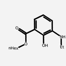 CCCCCCOC(=O)c1cccc(NCC)c1O